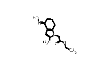 CCOC(=O)Cn1c(C)cc2c1CCC/C2=N\O